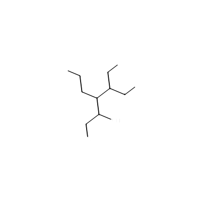 CCCC(C(C)CO)C(CC)CO